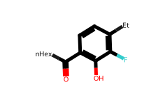 CCCCCCC(=O)c1ccc(CC)c(F)c1O